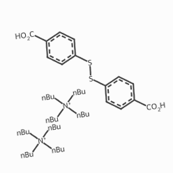 CCCC[N+](CCCC)(CCCC)CCCC.CCCC[N+](CCCC)(CCCC)CCCC.O=C(O)c1ccc(SSc2ccc(C(=O)O)cc2)cc1